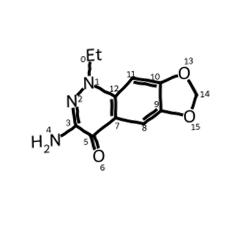 CCn1nc(N)c(=O)c2cc3c(cc21)OCO3